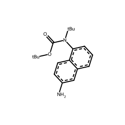 CC(C)(C)OC(=O)N(c1cccc2cc(N)ccc12)C(C)(C)C